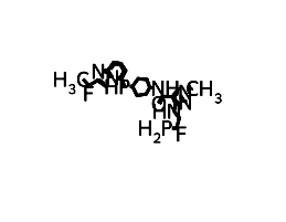 CC(F)c1cn2c(PC3CCC(NC(=O)c4cn(C)nc4NCC(F)P)CC3)cccc2n1